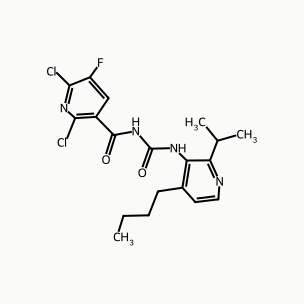 CCCCc1ccnc(C(C)C)c1NC(=O)NC(=O)c1cc(F)c(Cl)nc1Cl